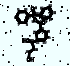 O=C(OP(=O)(c1ccccc1)c1ccccc1)c1cccc(C(O)CCO)c1